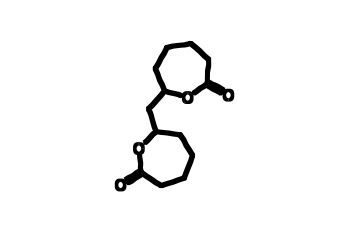 O=C1CCCCC(CC2CCCCC(=O)O2)O1